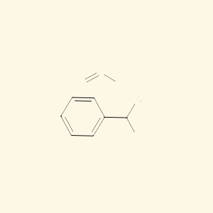 C[CH]([AlH2])c1ccccc1.O=PO